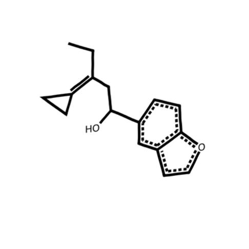 CCC(CC(O)c1ccc2occc2c1)=C1CC1